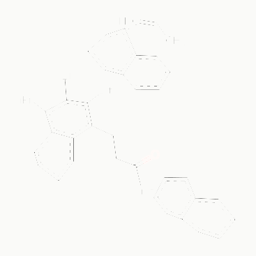 C=CC.CCc1c(CC)c(C(C)C)c2ccccc2c1CCC(=O)C(C)C.c1ccc2ccccc2c1.c1ccc2ccccc2c1